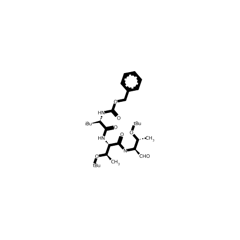 CC[C@H](C)[C@H](NC(=O)OCc1ccccc1)C(=O)N[C@H](C(=O)[N][C@H](C=O)[C@@H](C)OC(C)(C)C)[C@@H](C)OC(C)(C)C